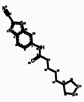 N#Cc1nc2ccc(NC(=O)CCCCC3CSSC3)cc2s1